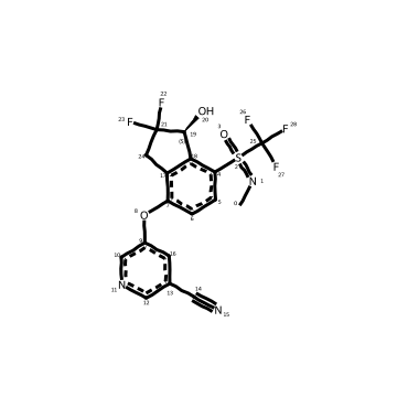 CN=S(=O)(c1ccc(Oc2cncc(C#N)c2)c2c1[C@H](O)C(F)(F)C2)C(F)(F)F